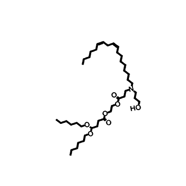 CCCCC/C=C\C/C=C\CCCCCCCCN(CCCO)CCC(=O)OCCOC(=O)CCC(OCCCCCC)OCCCCCC